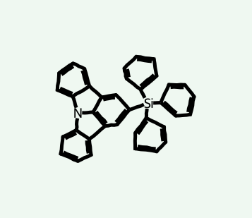 c1ccc([Si](c2ccccc2)(c2ccccc2)c2cc3c4ccccc4n4c5ccccc5c(c2)c34)cc1